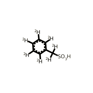 [2H]c1c([2H])c([2H])c(C([2H])([2H])S(=O)(=O)O)c([2H])c1[2H]